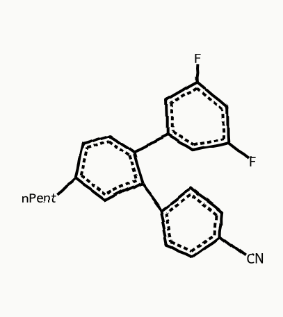 CCCCCc1ccc(-c2cc(F)cc(F)c2)c(-c2ccc(C#N)cc2)c1